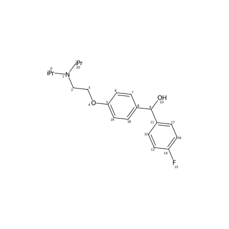 CC(C)N(CCOc1ccc(C(O)c2ccc(F)cc2)cc1)C(C)C